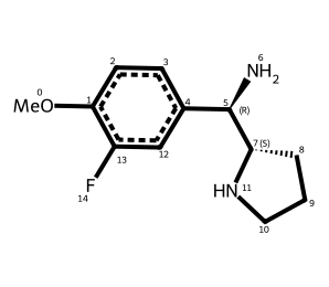 COc1ccc([C@@H](N)[C@@H]2CCCN2)cc1F